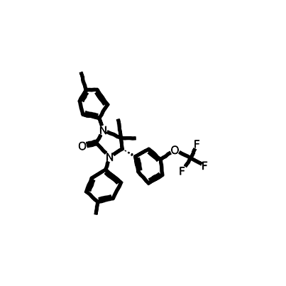 Cc1ccc(N2C(=O)N(c3ccc(C)cc3)C(C)(C)[C@@H]2c2cccc(OC(F)(F)F)c2)cc1